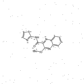 CC(C)(C)Oc1nc2ccccc2nc1C(=O)Nc1nccs1